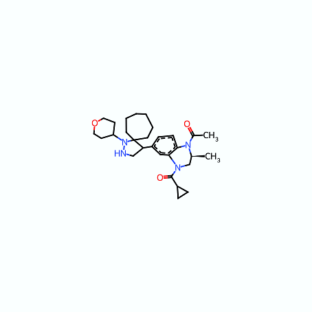 CC(=O)N1c2ccc(C3CNN(C4CCOCC4)C34CCCCCC4)cc2N(C(=O)C2CC2)C[C@@H]1C